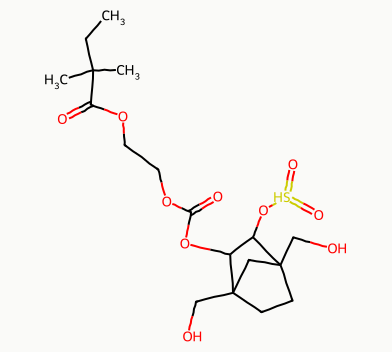 CCC(C)(C)C(=O)OCCOC(=O)OC1C(O[SH](=O)=O)C2(CO)CCC1(CO)C2